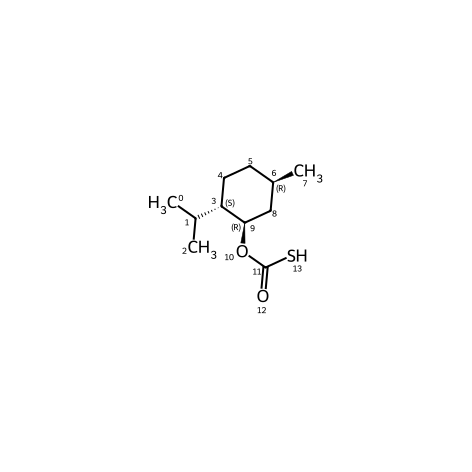 CC(C)[C@@H]1CC[C@@H](C)C[C@H]1OC(=O)S